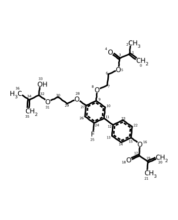 C=C(C)C(=O)OCCOc1cc(-c2ccc(OC(=O)C(=C)C)cc2)c(F)cc1OCCOC(O)C(=C)C